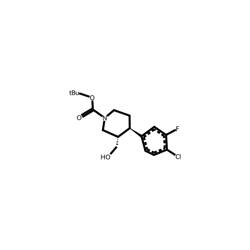 CC(C)(C)OC(=O)N1CC[C@@H](c2ccc(Cl)c(F)c2)[C@H](CO)C1